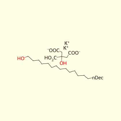 CCCCCCCCCCCCCCCCCCCCCCCCO.O=C([O-])CC(O)(CC(=O)[O-])C(=O)O.[K+].[K+]